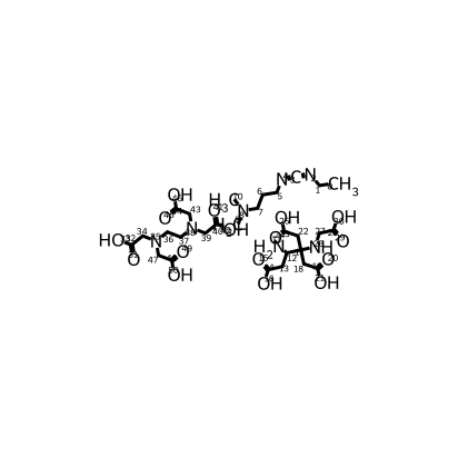 CCN=C=NCCCN(C)C.NC(CC(=O)O)C(CC(=O)O)(CC(=O)O)NCC(=O)O.O=C(O)CN(CCN(CC(=O)O)CC(=O)O)CC(=O)O